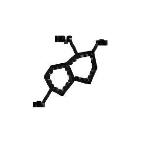 CCCCc1ccc2c(C(=O)O)c(CCCC)ccc2c1